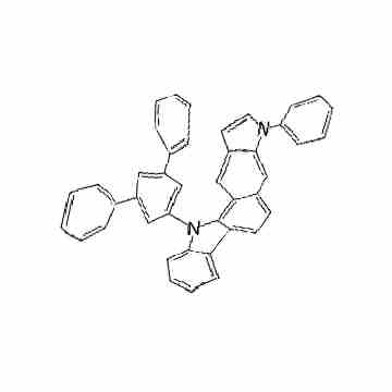 c1ccc(-c2cc(-c3ccccc3)cc(-n3c4ccccc4c4ccc5cc6c(ccn6-c6ccccc6)cc5c43)c2)cc1